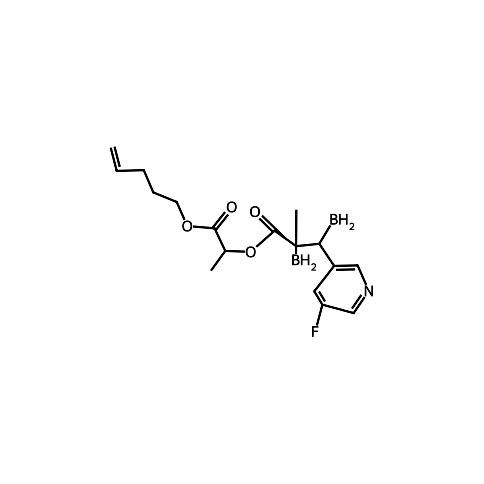 BC(c1cncc(F)c1)C(B)(C)C(=O)OC(C)C(=O)OCCCC=C